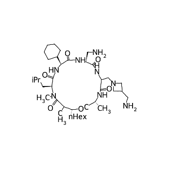 CCCCCC[C@H]1OC[C@@H](C)NC(=O)C(CN2CC(CN)C2)NC(=O)[C@H](CN)NC(=O)[C@H](C2CCCCC2)NC(=O)[C@H](CC(C)C)N(C)C(=O)C1C